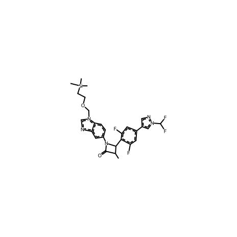 CC1C(=O)N(c2ccc3c(c2)ncn3COCC[Si](C)(C)C)C1c1c(F)cc(-c2cnn(C(F)F)c2)cc1F